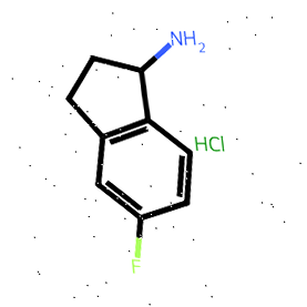 Cl.NC1CCc2cc(F)ccc21